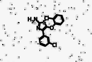 Nc1nc(-c2cccc(Cl)c2)c(Oc2ccccc2Cl)s1